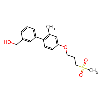 Cc1cc(OCCCS(C)(=O)=O)ccc1-c1cccc(CO)c1